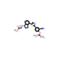 CC(=O)CN[C@@H]1CCc2c(-c3cnc(-c4ccc(OC(C)C)c(C#N)c4)s3)cccc21